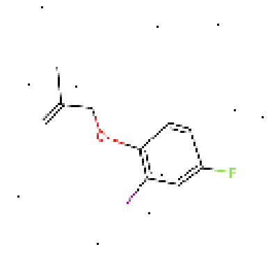 C=C(C)COc1ccc(F)cc1I